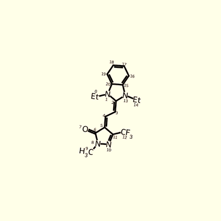 CCN1C(=C/C=C2/C(=O)N(C)N=C2C(F)(F)F)N(CC)c2ccccc21